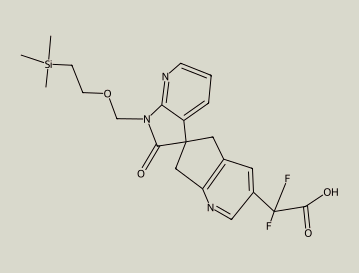 C[Si](C)(C)CCOCN1C(=O)C2(Cc3cc(C(F)(F)C(=O)O)cnc3C2)c2cccnc21